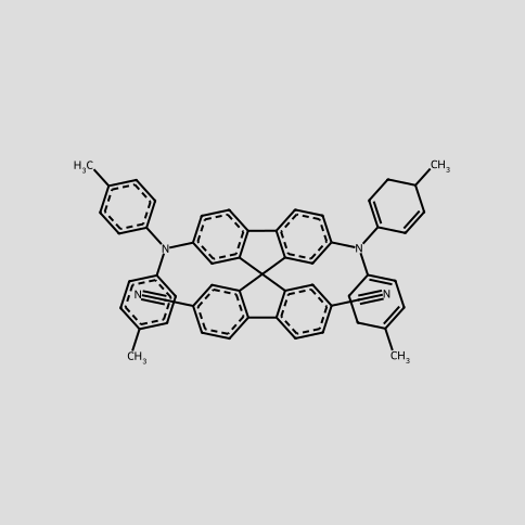 CC1=CC=C(N(C2=CCC(C)C=C2)c2ccc3c(c2)C2(c4cc(C#N)ccc4-c4ccc(C#N)cc42)c2cc(N(c4ccc(C)cc4)c4ccc(C)cc4)ccc2-3)CC1